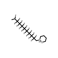 CC(F)C(F)(F)C(F)(F)C(F)(F)C(F)(F)C(F)(F)C(F)(F)C(F)(F)C(F)(F)C[SiH]1CCCCO1